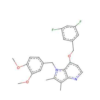 COc1ccc(Cn2c(C)c(C)c3nccc(OCc4cc(F)cc(F)c4)c32)cc1OC